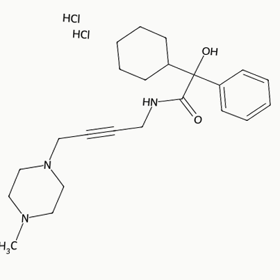 CN1CCN(CC#CCNC(=O)C(O)(c2ccccc2)C2CCCCC2)CC1.Cl.Cl